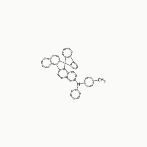 Cc1ccc(N(c2ccccc2)c2ccc3c4c(ccc3c2)-c2c(ccc3ccccc23)C42c3ccccc3-c3ccccc32)cc1